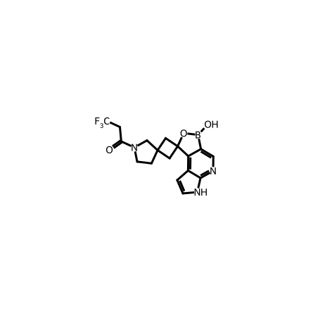 O=C(CC(F)(F)F)N1CCC2(C1)CC1(C2)OB(O)c2cnc3[nH]ccc3c21